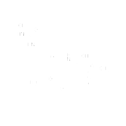 CCOC(=O)C1=C(COCCNC(=O)NC)NC(C)=C(C(=O)OC)C1c1ccccc1Cl